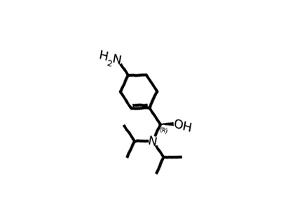 CC(C)N(C(C)C)[C@H](O)C1=CCC(N)CC1